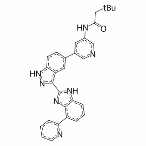 CC(C)(C)CC(=O)Nc1cncc(-c2ccc3[nH]nc(-c4nc5c(-c6ccccn6)cccc5[nH]4)c3c2)c1